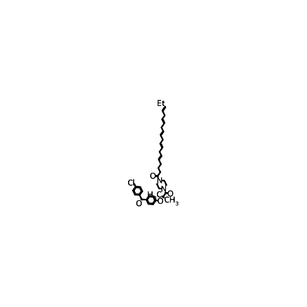 CCC=CCC=CCC=CCC=CCC=CCCCC(=O)N1CCN(C(=O)C(C)(C)Oc2ccc(C(=O)c3ccc(Cl)cc3)cc2)CC1